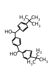 CC(C)(C)c1ccc(C(O)c2ccc(C(O)c3ccc(C(C)(C)C)cc3)cc2)cc1